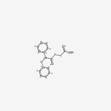 O=C(O)CCC(=O)N(Cc1ccccc1)c1ccccc1